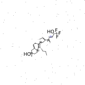 CCCC[C@H]1[C@H]([C@@H]2CC=C([C@H](C)/C=C/C(O)C(F)(F)F)C2)CC=C2C[C@@](C)(O)CC[C@@]21C